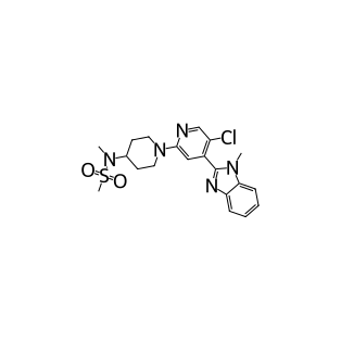 CN(C1CCN(c2cc(-c3nc4ccccc4n3C)c(Cl)cn2)CC1)S(C)(=O)=O